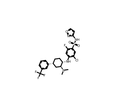 CN(C)[C@H]1C[C@H](c2cccc(C(F)(F)F)c2)CC[C@@H]1Nc1cc(F)c(S(=O)(=O)Nc2ccon2)cc1Cl